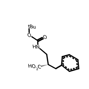 CC(C)(C)OC(=O)NC[C@H](Cc1ccccc1)C(=O)O